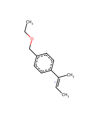 C/C=C(\C)c1ccc(COCC)cc1